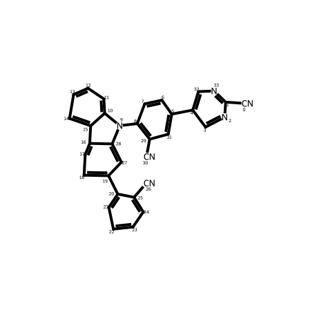 N#Cc1ncc(-c2ccc(-n3c4ccccc4c4ccc(-c5ccccc5C#N)cc43)c(C#N)c2)cn1